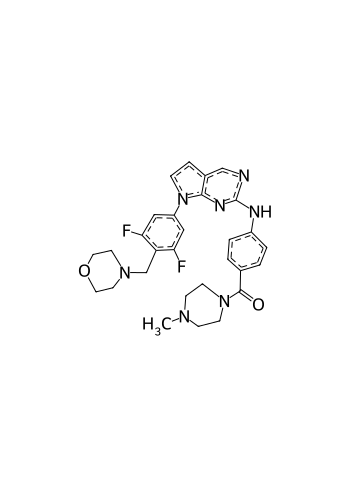 CN1CCN(C(=O)c2ccc(Nc3ncc4ccn(-c5cc(F)c(CN6CCOCC6)c(F)c5)c4n3)cc2)CC1